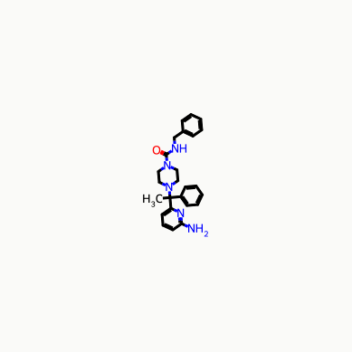 CC(c1ccccc1)(c1cccc(N)n1)N1CCN(C(=O)NCc2ccccc2)CC1